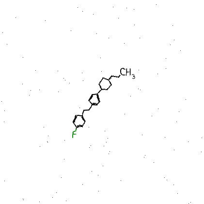 CCCC1CCC(c2ccc(CCc3ccc(F)cc3)cc2)CC1